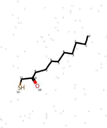 CCCCCCCCCC(=O)CS